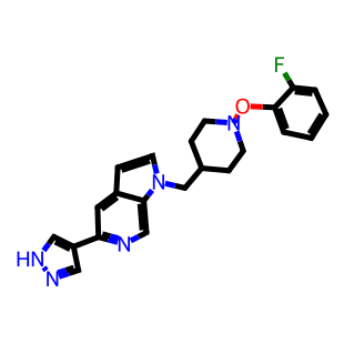 Fc1ccccc1ON1CCC(Cn2ccc3cc(-c4cn[nH]c4)ncc32)CC1